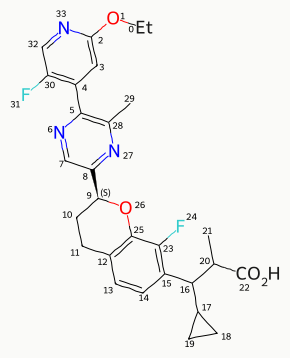 CCOc1cc(-c2ncc([C@@H]3CCc4ccc(C(C5CC5)C(C)C(=O)O)c(F)c4O3)nc2C)c(F)cn1